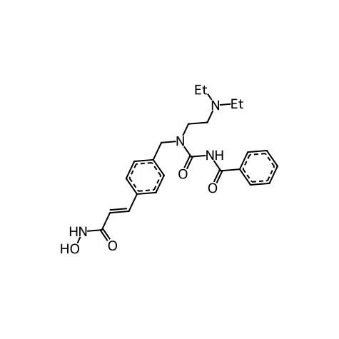 CCN(CC)CCN(Cc1ccc(C=CC(=O)NO)cc1)C(=O)NC(=O)c1ccccc1